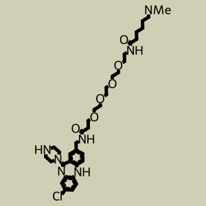 CNCCCCCC(=O)NCCOCCOCCOCCOCCC(=O)NCc1ccc2c(c1)C(N1CCNCC1)=Nc1cc(Cl)ccc1N2